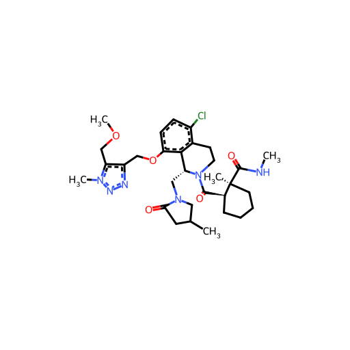 CNC(=O)[C@@]1(C)CCCC[C@H]1C(=O)N1CCc2c(Cl)ccc(OCc3nnn(C)c3COC)c2[C@H]1CN1CC(C)CC1=O